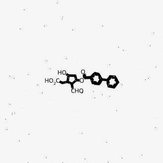 O=CC1C(OC(=O)c2ccc(-c3ccccc3)cc2)CC(O)C1CC(=O)O